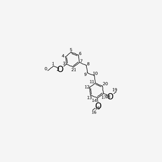 CCOc1cccc(CCCc2ccc(OC)c(OC)c2)c1